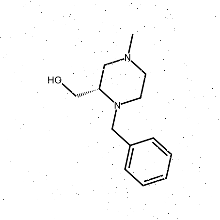 CN1CCN(Cc2ccccc2)[C@H](CO)C1